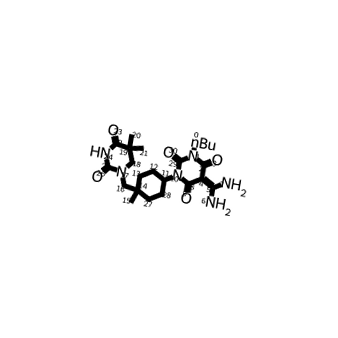 CCCCN1C(=O)C(=C(N)N)C(=O)N(C2CCC(C)(CN3CC(C)(C)C(=O)NC3=O)CC2)C1=O